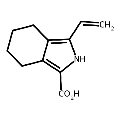 C=Cc1[nH]c(C(=O)O)c2c1CCCC2